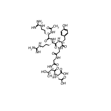 CC(=O)N[C@@H](CCCNC(=N)N)C(=O)N[C@@H](CCCNC(=N)N)C(=O)N[C@@H](Cc1ccc(O)cc1)C(=O)NCC(=O)NCC(=O)N[C@H](C(=O)N[C@@H](CC(=O)O)C(=O)O)[C@@H](C)O